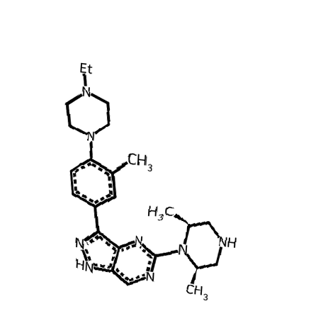 CCN1CCN(c2ccc(-c3n[nH]c4cnc(N5[C@H](C)CNC[C@@H]5C)nc34)cc2C)CC1